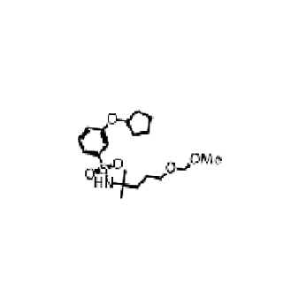 COCOCCCC(C)(C)NS(=O)(=O)c1cccc(OC2CCCC2)c1